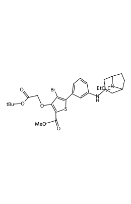 CCOC(=O)N1C2CCC1CC(Nc1cccc(-c3sc(C(=O)OC)c(OCC(=O)OC(C)(C)C)c3Br)c1)C2